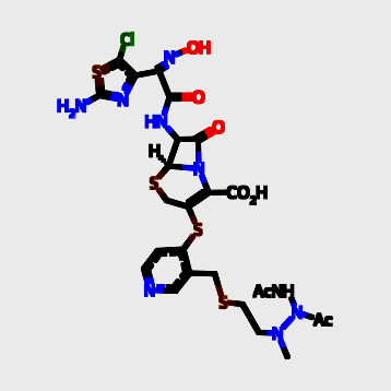 CC(=O)NN(C(C)=O)N(C)CCSCc1cnccc1SC1=C(C(=O)O)N2C(=O)C(NC(=O)/C(=N\O)c3nc(N)sc3Cl)[C@@H]2SC1